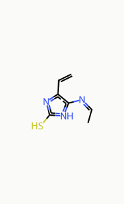 C=Cc1nc(S)[nH]c1/N=C\C